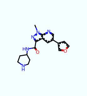 Cn1nc(C(=O)NC2CCNCC2)c2cc(-c3ccoc3)cnc21